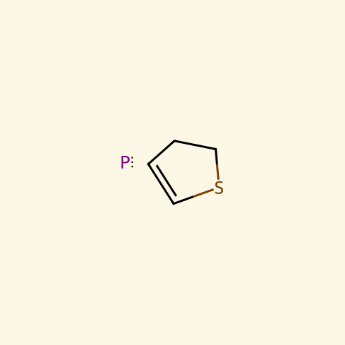 C1=CSCC1.[P]